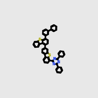 c1ccc(-c2cccc(-c3ccc(-c4ccc5c(c4)sc4c(-c6nc(-c7ccccc7)nc(-c7ccccc7)n6)cccc45)c4c3sc3ccccc34)c2)cc1